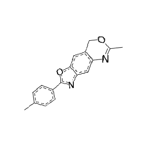 CC1=Nc2cc3nc(-c4ccc(C)cc4)oc3cc2CO1